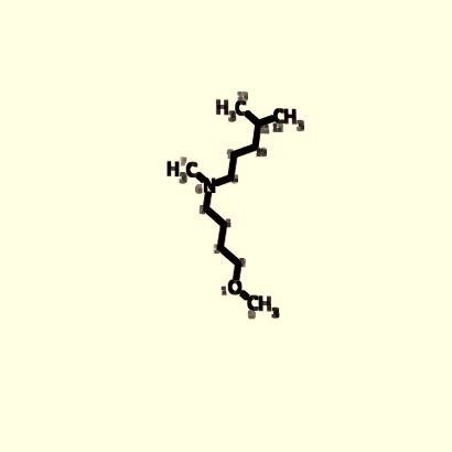 COCCCCN(C)CCCC(C)C